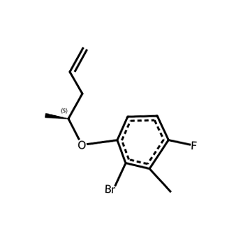 C=CC[C@H](C)Oc1ccc(F)c(C)c1Br